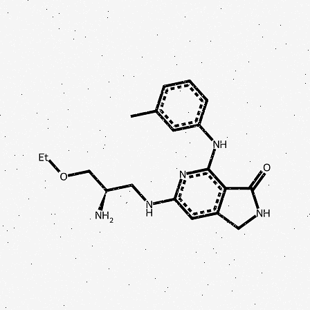 CCOC[C@H](N)CNc1cc2c(c(Nc3cccc(C)c3)n1)C(=O)NC2